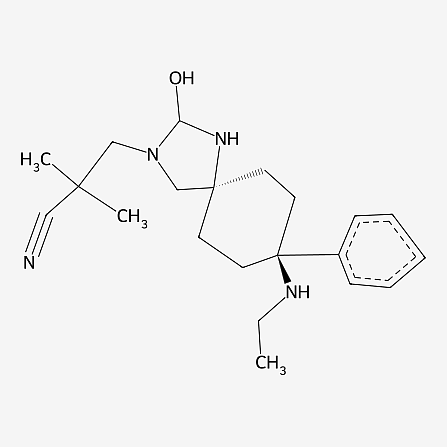 CCN[C@]1(c2ccccc2)CC[C@]2(CC1)CN(CC(C)(C)C#N)C(O)N2